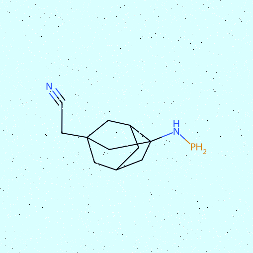 N#CCC12CC3CC(C1)C(NP)(C3)C2